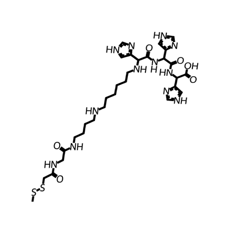 CSSCC(=O)NCC(=O)NCCCCNCCCCCCNC(C(=O)NC(C(=O)NC(C(=O)O)c1c[nH]cn1)c1c[nH]cn1)c1c[nH]cn1